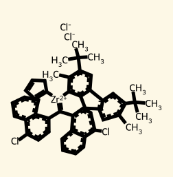 Cc1cc2c(cc1C(C)(C)C)-c1cc(C(C)(C)C)c(C)[c]([Zr+2]([C]3=CC=CC3)=[C](c3ccc(Cl)c4ccccc34)c3ccc(Cl)c4ccccc34)c1C2.[Cl-].[Cl-]